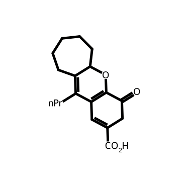 CCCC1=C2CCCCCC2OC2=C1C=C(C(=O)O)CC2=O